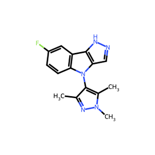 Cc1nn(C)c(C)c1-n1c2ccc(F)cc2c2[nH]ncc21